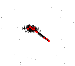 CCCCCCCCCCCCCCCCCCNC(=O)CC[C@H](C(N)=O)N(CC(C)O[C@H]1[C@H](O)[C@@H](CO)O[C@H](O)[C@@H]1NC(C)=O)C(=O)[C@H](C)N